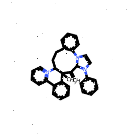 C=C1C2N(c3ccccc3)C=CN2c2ccccc2CCC2[n+]3ccccc3-c3ccccc3C12C